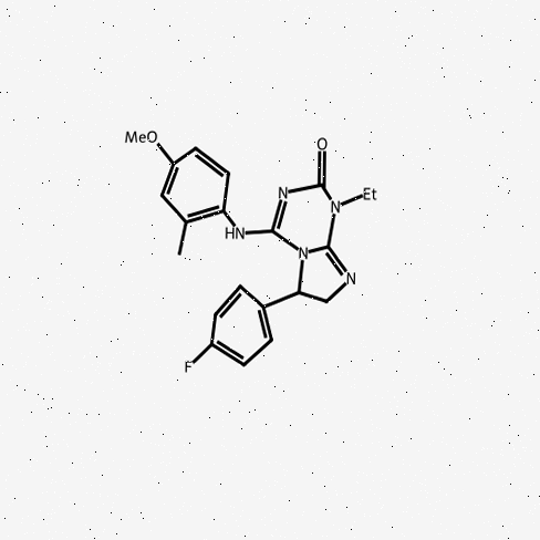 CCN1C(=O)N=C(Nc2ccc(OC)cc2C)N2C1=NCC2c1ccc(F)cc1